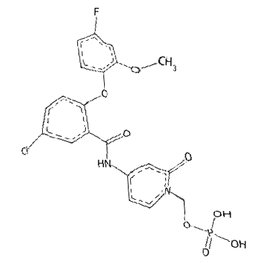 COc1cc(F)ccc1Oc1ccc(Cl)cc1C(=O)Nc1ccn(COP(=O)(O)O)c(=O)c1